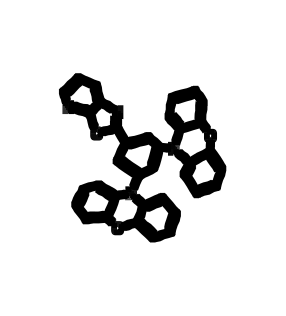 c1ccc2c(c1)Oc1ccccc1N2c1cc(-c2nc3cccnc3o2)cc(N2c3ccccc3Oc3ccccc32)c1